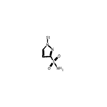 CCn1ccc(S(N)(=O)=O)n1